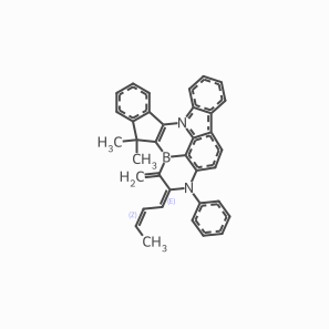 C=C1B2C3=C(c4ccccc4C3(C)C)n3c4ccccc4c4ccc(c2c43)N(c2ccccc2)/C1=C/C=C\C